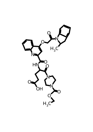 CCOC(=O)N1CCN(C(=O)C(CCC(=O)O)NC(=O)c2cc(OCC(=O)N3c4ccccc4CC3C)c3ccccc3n2)CC1